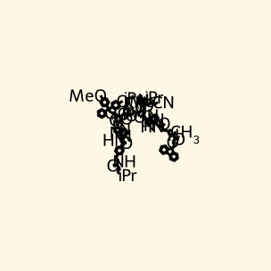 COc1ccc(C(OC[C@H]2O[C@@H](n3cnc4c(NC(=O)c5ccc(CNC(=O)CCC(C)C)cc5)ncnc43)CC2OP(=O)(OCCC#N)OC[C@H]2OC(n3cnc4c(NC(=O)CCCN(C)C(=O)OCC5c6ccccc6-c6ccccc65)ncnc43)C[C@H]2OP(OCCC#N)N(C(C)C)C(C)C)(c2ccccc2)c2ccc(OC)cc2)cc1